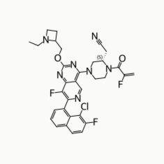 C=C(F)C(=O)N1CCN(c2nc(OCC3CCN3CC)nc3c(F)c(-c4cccc5ccc(F)c(Cl)c45)ncc23)C[C@@H]1CC#N